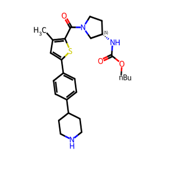 CCCCOC(=O)N[C@H]1CCN(C(=O)c2sc(-c3ccc(C4CCNCC4)cc3)cc2C)C1